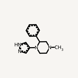 CN1CCN(c2cn[nH]c2)C(c2ccccc2)C1